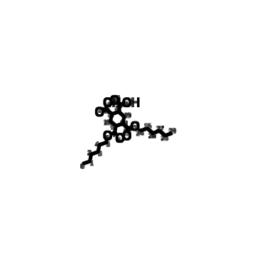 CCCCCCOC(=O)C1CC(C(=O)O)C(C(=O)O)CC1C(=O)OCCCCCC